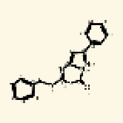 O=c1[nH]c(SCc2ccccc2)nc2cc(-c3ccccc3)nn12